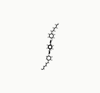 CCCCCC[C@H]1CC[C@H](C#Cc2ccc(C#C[C@H]3CC[C@H](CCCCCC)CC3)cc2)CC1